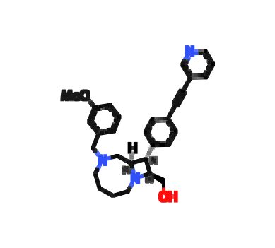 COc1cccc(CN2CCCCN3[C@H](CO)[C@@H](c4ccc(C#Cc5cccnc5)cc4)[C@@H]3C2)c1